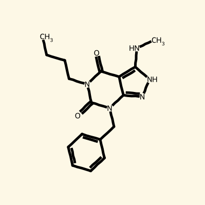 CCCCn1c(=O)c2c(NC)[nH]nc2n(Cc2ccccc2)c1=O